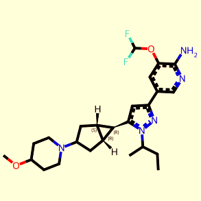 CCC(C)n1nc(-c2cnc(N)c(OC(F)F)c2)cc1[C@H]1[C@@H]2CC(N3CCC(OC)CC3)C[C@@H]21